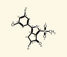 CS(=O)(=O)c1sc(-c2cc(F)cc(Cl)c2)c2c1C(=O)C(F)C2